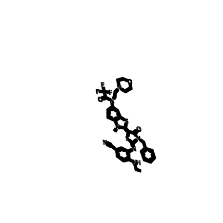 CCNc1ccc(C#N)cc1N=C1SC(=C2Sc3cc(N(CCN4CCOCC4)C(=O)C(F)(F)F)ccc3N2C)C(=O)N1Cc1ccccc1